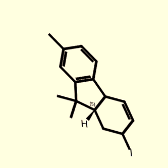 Cc1ccc2c(c1)C(C)(C)[C@H]1CC(I)C=CC21